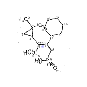 CC1(C)CC1/C(C(=O)O)=C(/C[PH](=O)O)C1CCCCC1